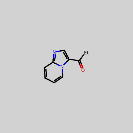 CCC(=O)c1cnc2ccccn12